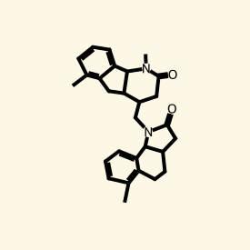 Cc1cccc2c1CC1C(CN3C(=O)CC4CCc5c(C)cccc5C43)CC(=O)N(C)C21